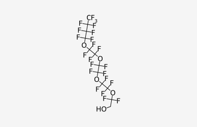 OCC(F)(F)OC(F)(F)C(F)(F)OC(F)(F)C(F)(F)OC(F)(F)C(F)(F)OC(F)(F)C(F)(F)C(F)(F)C(F)(F)F